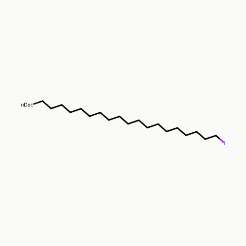 CCCCCCCCCCCCCCCCCCCCCCCCCCCCCI